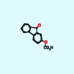 O=C(O)Oc1ccc2c(c1)C(=O)c1ccccc1-2